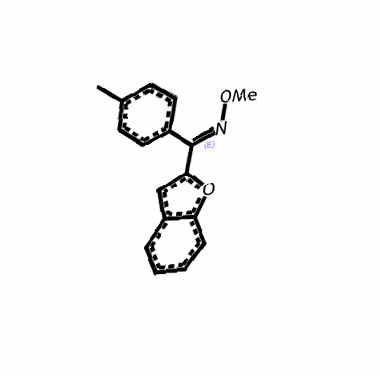 CO/N=C(\c1ccc(C)cc1)c1cc2ccccc2o1